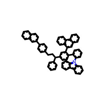 c1ccc(C(CCc2ccc(-c3ccc4ccccc4c3)cc2)c2ccc(-c3ccccc3-n3c4ccccc4c4ccccc43)c(-c3cc4ccccc4c4ccccc34)c2)cc1